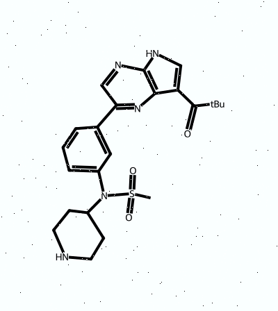 CC(C)(C)C(=O)c1c[nH]c2ncc(-c3cccc(N(C4CCNCC4)S(C)(=O)=O)c3)nc12